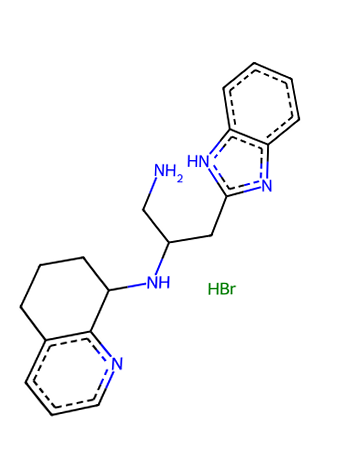 Br.NCC(Cc1nc2ccccc2[nH]1)NC1CCCc2cccnc21